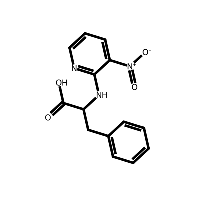 O=C(O)C(Cc1ccccc1)Nc1ncccc1[N+](=O)[O-]